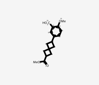 COC(=O)C1CC2(C1)CC(c1ccc(OC)c(C(=O)O)c1)C2